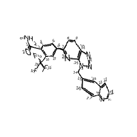 NC(=O)c1ccc(-c2ccc3nnn(Cc4ccc5ncccc5c4)c3n2)cc1C(F)(F)F